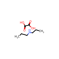 CCCNCCC.O=C(O)C(=O)O